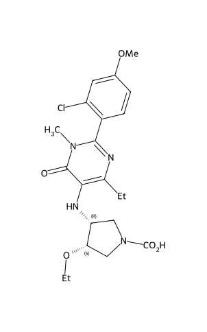 CCO[C@H]1CN(C(=O)O)C[C@H]1Nc1c(CC)nc(-c2ccc(OC)cc2Cl)n(C)c1=O